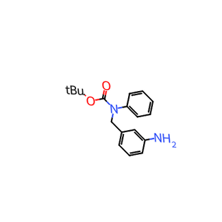 CC(C)(C)OC(=O)N(Cc1cccc(N)c1)c1ccccc1